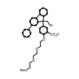 COCCOCCOCCOc1ccc(C2(CC(C)C)c3ccccc3-c3ccc(-c4ccccc4)cc32)cc1C(=O)O